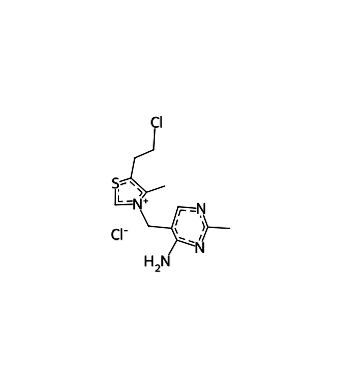 Cc1ncc(C[n+]2csc(CCCl)c2C)c(N)n1.[Cl-]